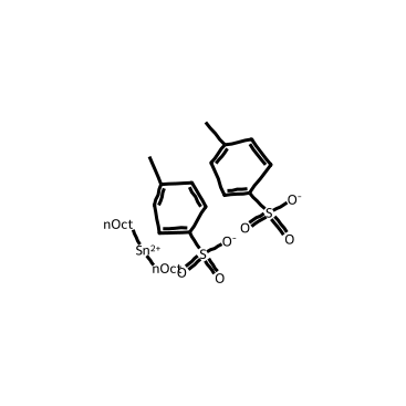 CCCCCCC[CH2][Sn+2][CH2]CCCCCCC.Cc1ccc(S(=O)(=O)[O-])cc1.Cc1ccc(S(=O)(=O)[O-])cc1